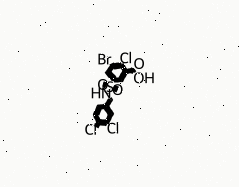 O=C(O)c1cc(S(=O)(=O)NCc2ccc(Cl)c(Cl)c2)cc(Br)c1Cl